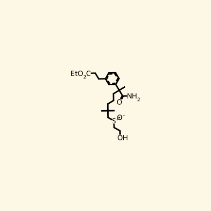 CCOC(=O)CCc1cccc(C(C)(CCCC(C)(C)C[S+]([O-])CCO)C(N)=O)c1